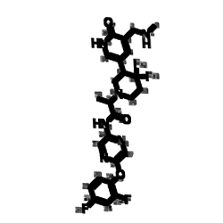 CNCc1cc(C2CN(C(C)C(=O)Nc3cnc(Oc4ccc(F)cc4F)cn3)CCC2(F)F)c[nH]c1=O